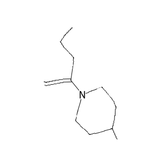 C=C(CCC)N1CCC(C)CC1